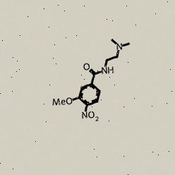 COc1cc(C(=O)NCCN(C)C)ccc1[N+](=O)[O-]